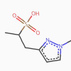 CC(Cc1ccn(C)n1)S(=O)(=O)O